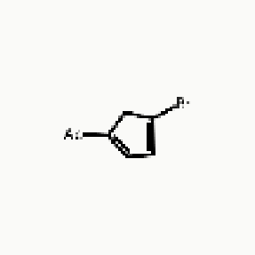 CC(=O)C1=CC=C(Br)C1